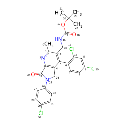 Cc1nc2c(c(-c3ccc(Cl)cc3Cl)c1CNC(=O)OC(C)(C)C)CN(c1ccc(Cl)cc1)C2=O